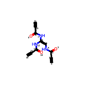 C#CC(=O)NC=C(NC(=O)C#C)NC(=O)C#C